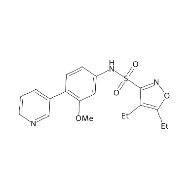 CCc1onc(S(=O)(=O)Nc2ccc(-c3cccnc3)c(OC)c2)c1CC